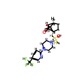 CC1(C)[C@@H]2CC[C@@]1(C[SH](C)(=O)N1CCN(c3ccc(C(F)(F)F)cn3)CC1)C(=O)C2